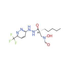 CCCCC[C@H](CN(O)C=O)C(=O)NNc1ccc(C(F)(F)F)nn1